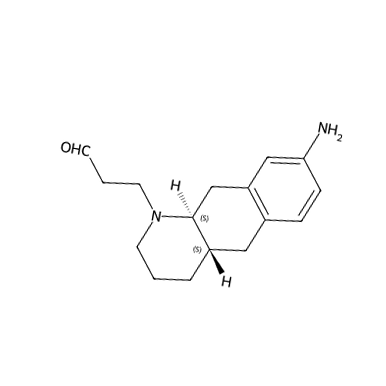 Nc1ccc2c(c1)C[C@H]1[C@@H](CCCN1CCC=O)C2